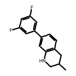 CC1CNc2cc(-c3cc(F)cc(F)c3)ccc2C1